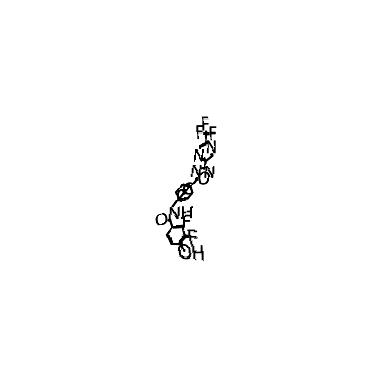 O=C(NCC12CCC(c3nc(-c4cnc(C(F)(F)F)cn4)no3)(CC1)CC2)c1ccc(O)c(F)c1F